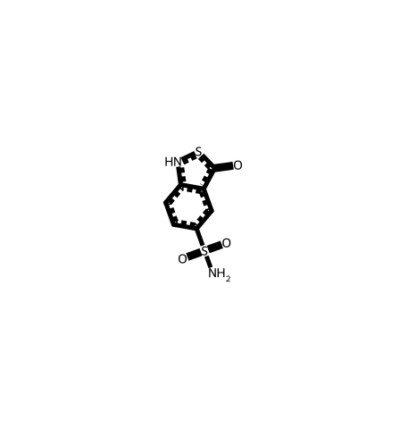 NS(=O)(=O)c1ccc2[nH]sc(=O)c2c1